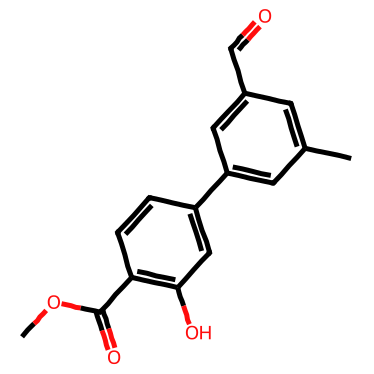 COC(=O)c1ccc(-c2cc(C)cc(C=O)c2)cc1O